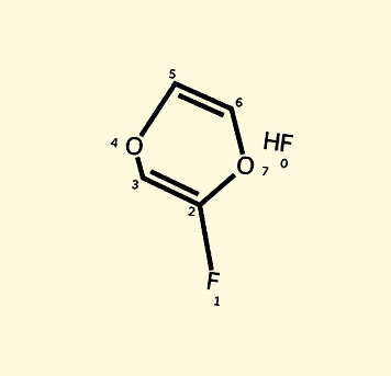 F.FC1=COC=CO1